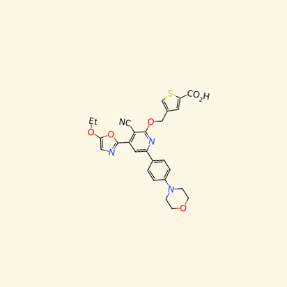 CCOc1cnc(-c2cc(-c3ccc(N4CCOCC4)cc3)nc(OCc3csc(C(=O)O)c3)c2C#N)o1